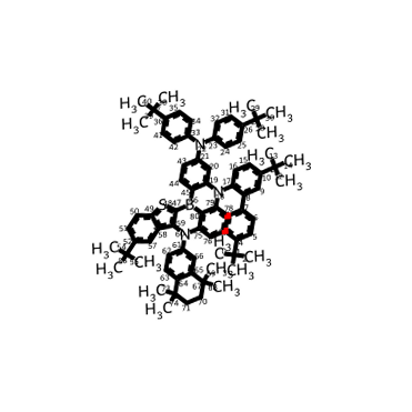 CC(C)(C)c1ccc(-c2cc(C(C)(C)C)ccc2N2c3cc(N(c4ccc(C(C)(C)C)cc4)c4ccc(C(C)(C)C)cc4)ccc3B3c4sc5ccc(C(C)(C)C)cc5c4N(c4ccc5c(c4)C(C)(C)CCC5(C)C)c4cccc2c43)cc1